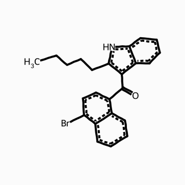 CCCCCc1[nH]c2ccccc2c1C(=O)c1ccc(Br)c2ccccc12